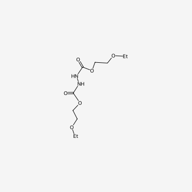 CCOCCOC(=O)NNC(=O)OCCOCC